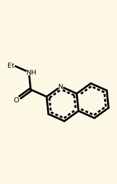 [CH2]CNC(=O)c1ccc2ccccc2n1